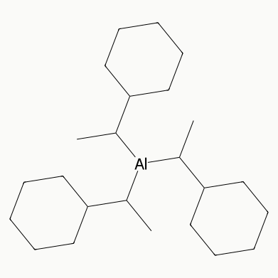 C[CH](C1CCCCC1)[Al]([CH](C)C1CCCCC1)[CH](C)C1CCCCC1